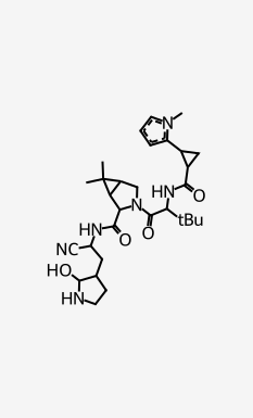 Cn1cccc1C1CC1C(=O)NC(C(=O)N1CC2C(C1C(=O)NC(C#N)CC1CCNC1O)C2(C)C)C(C)(C)C